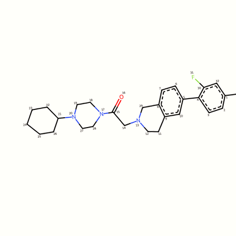 Cc1ccc(-c2ccc3c(c2)CCN(CC(=O)N2CCN(C4CCCCC4)CC2)C3)c(F)c1